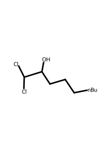 CCCCCCCC(O)C(Cl)Cl